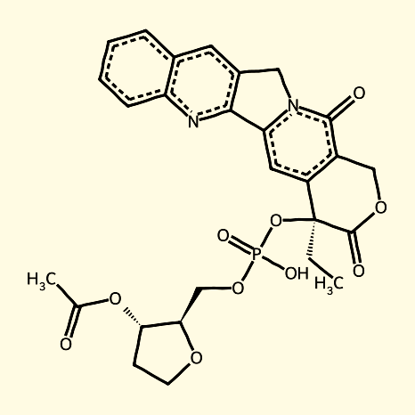 CC[C@@]1(OP(=O)(O)OC[C@H]2OCC[C@@H]2OC(C)=O)C(=O)OCc2c1cc1n(c2=O)Cc2cc3ccccc3nc2-1